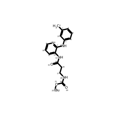 Cc1cccc(Nc2ncccc2NC(=O)CCNC(=O)OC(C)(C)C)c1